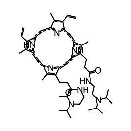 C=CC1=C(C)c2cc3[nH]c(cc4nc(cc5[nH]c(cc1n2)c(C)c5CCC(=O)NCCN(C(C)C)C(C)C)C(CCC(=O)NCCN(C(C)C)C(C)C)=C4C)c(C)c3C=C